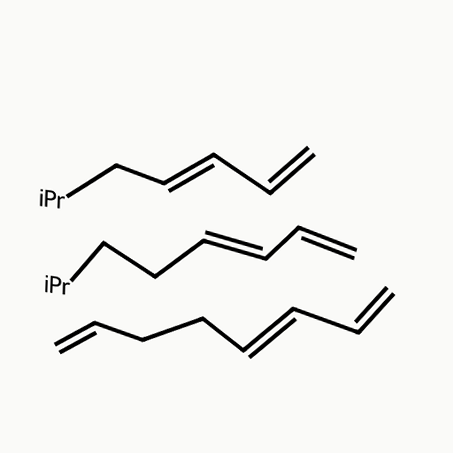 C=CC=CCC(C)C.C=CC=CCCC(C)C.C=CC=CCCC=C